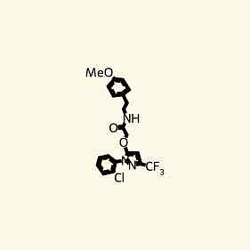 COc1ccc(CCNC(=O)COc2cc(C(F)(F)F)nn2-c2ccccc2Cl)cc1